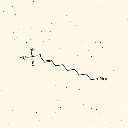 CCCCCCCCCCCCCCCCC=COP(O)(=S)S